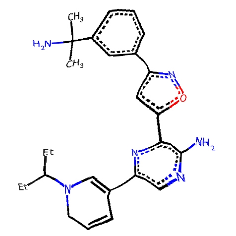 CCC(CC)N1C=C(c2cnc(N)c(-c3cc(-c4cccc(C(C)(C)N)c4)no3)n2)C=CC1